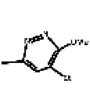 CCc1cc(C)nnc1OC